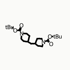 CC(C)(C)OC(=O)N1CCC(CC2CCN(C(=O)OC(C)(C)C)CC2)CC1